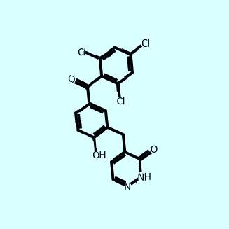 O=C(c1ccc(O)c(Cc2ccn[nH]c2=O)c1)c1c(Cl)cc(Cl)cc1Cl